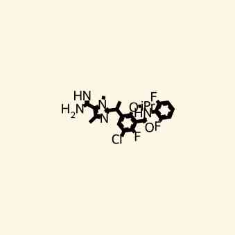 Cc1nc(C(C)c2cc(Cl)c(F)c(C(=O)Nc3c(F)cccc3F)c2OC(C)C)n(C)c1C(=N)N